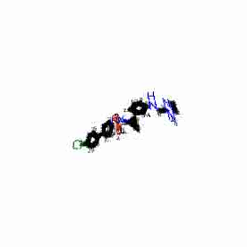 Cn1ccnc1CNc1cccc([C@@H]2C[C@]2(NS(=O)(=O)c2ccc(-c3ccc(Cl)cc3)cc2)C(=O)O)c1